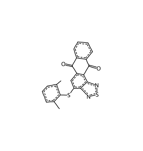 Cc1cccc(C)c1Sc1cc2c(c3nsnc13)C(=O)c1ccccc1C2=O